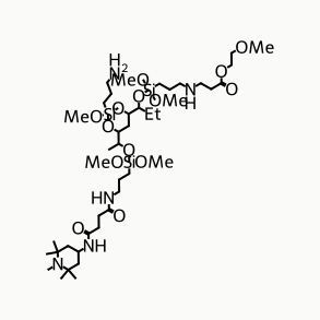 CCC(O[Si](CCCNCCC(=O)OCCOC)(OC)OC)C1CC(C(C)O[Si](CCCNC(=O)CCC(=O)NC2CC(C)(C)N(C)C(C)(C)C2)(OC)OC)O[Si](CCCN)(OC)O1